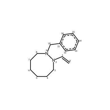 C=CN1CCCCCCN1Cc1ccccc1